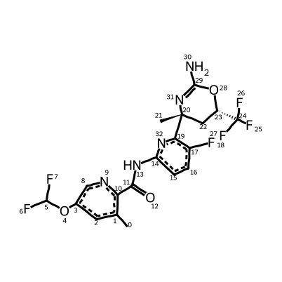 Cc1cc(OC(F)F)cnc1C(=O)Nc1ccc(F)c([C@@]2(C)C[C@@H](C(F)(F)F)OC(N)=N2)n1